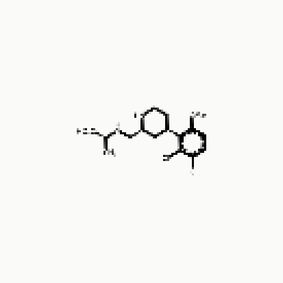 COc1ccc(Cl)c(Cl)c1[C@@H]1CCN[C@H](CN[C@@H](C)C(=O)O)C1